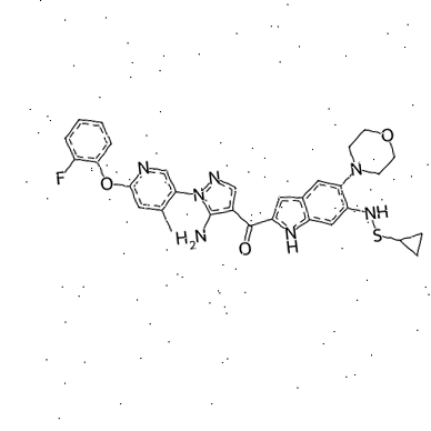 Cc1cc(Oc2ccccc2F)ncc1-n1ncc(C(=O)c2cc3cc(N4CCOCC4)c(NSC4CC4)cc3[nH]2)c1N